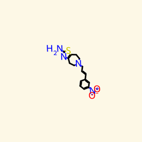 Nc1nc2c(s1)CCN(C/C=C/c1cccc([N+](=O)[O-])c1)CC2